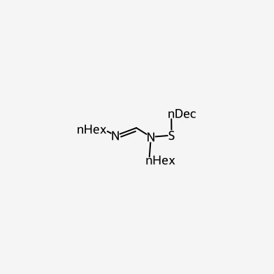 CCCCCCCCCCSN(C=NCCCCCC)CCCCCC